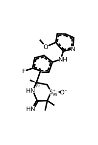 COc1cccnc1Nc1ccc(F)c([C@]2(C)C[S@+]([O-])C(C)(C)C(=N)N2)c1